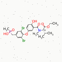 CCOC(=O)[C@H](C(C)C)N(C)C(=O)c1cc(Oc2c(Br)cc(CP(C)(=O)O)cc2Br)ccc1O